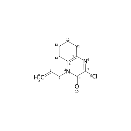 C=CCn1c2c(nc(Cl)c1=O)CCCC2